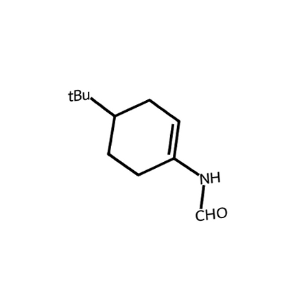 CC(C)(C)C1CC=C(NC=O)CC1